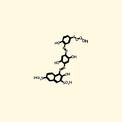 O=S(=O)(O)c1ccc2c(N=Nc3cc(O)c(N=Nc4cc(SOOO)ccc4O)cc3O)c(O)c(S(=O)(=O)O)cc2c1